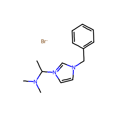 CC(N(C)C)[n+]1ccn(Cc2ccccc2)c1.[Br-]